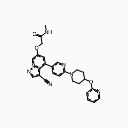 CNC(=O)COc1cc(-c2ccc(N3CCC(Oc4ccccn4)CC3)nc2)c2c(C#N)cnn2c1